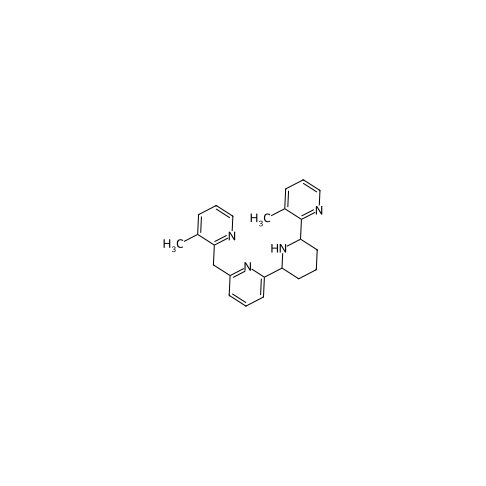 Cc1cccnc1Cc1cccc(C2CCCC(c3ncccc3C)N2)n1